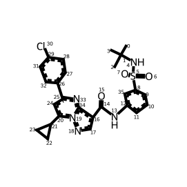 CC(C)(C)NS(=O)(=O)c1cccc(NC(=O)c2cnn3c(C4CC4)cc(-c4ccc(Cl)cc4)nc23)c1